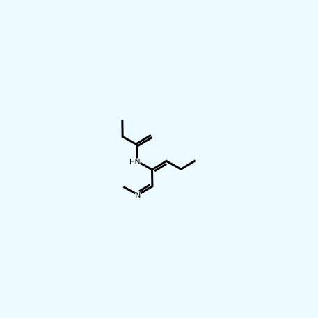 C=C(CC)NC(/C=N\C)=C/CC